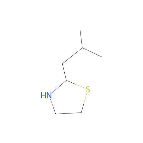 CC(C)CC1NCCS1